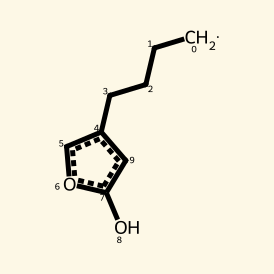 [CH2]CCCc1coc(O)c1